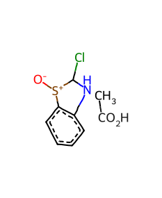 CC(=O)O.[O-][S+]1c2ccccc2NC1Cl